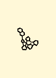 c1ccc2c(c1)B1c3ccccc3C3(c4ccccc4-c4ccc(-c5ccc6ccccc6c5)cc43)c3cccc-2c31